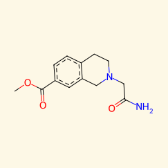 COC(=O)c1ccc2c(c1)CN(CC(N)=O)CC2